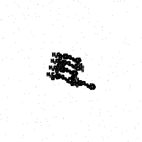 CC(=O)c1ccc(OCCCN2C[C@H](C)C[C@H](C)C2)cc1.CC(C)C(=O)c1ccc(OCCCN2CCCCC2)cc1.CCC(=O)c1ccc(OCCCN(CC)CC)cc1.CCC(=O)c1ccc(OCCCN2CCCCC2)cc1.O=Cc1ccc(OCCCN2CCCCC2)cc1